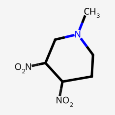 CN1CCC([N+](=O)[O-])C([N+](=O)[O-])C1